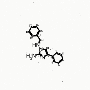 Nc1nc(-c2ccccc2)cn1NCc1ccccc1